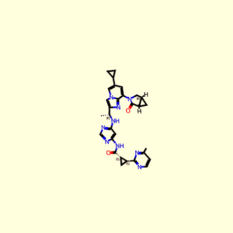 Cc1ccnc([C@H]2C[C@@H]2C(=O)Nc2cc(N[C@H](C)c3cn4cc(C5CC5)cc(N5C[C@@H]6C[C@@H]6C5=O)c4n3)ncn2)n1